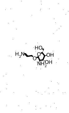 NC=CCOC1O[C@H](CO)[C@@H](O)[C@H](O)[C@H]1N